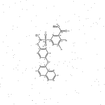 CCN(Sc1ccc(Oc2cccc3ccccc23)cc1)S(=O)(=O)c1cc(C)c(C)c(C(=O)OC)c1